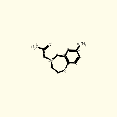 CC(=O)CN1CCSc2ccc(C)cc2C1